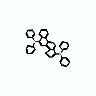 c1ccc(N(c2ccccc2)c2cc3c4cccc(N(c5ccccc5)c5ccccc5)c4ccc3c3ccccc23)cc1